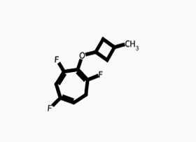 CC1CC(OC2=C(F)CC=C(F)C=C2F)C1